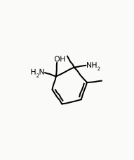 CC1=CC=CC(N)(O)C1(C)N